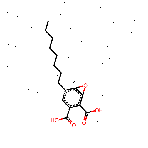 CCCCCCCCc1cc(C(=O)O)c(C(=O)O)c2c1O2